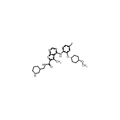 CO[C@H]1CC[C@H](Oc2cc(F)ccc2Nc2ncnc3sc(C(=O)NCC4CCCNC4)c(C)c23)CC1